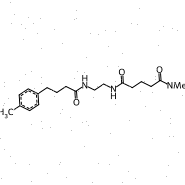 CNC(=O)CCCC(=O)NCCNC(=O)CCCc1ccc(C)cc1